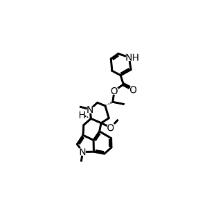 COC12C[C@@H](C(C)OC(=O)C3=CNC=CC3)CN(C)[C@@H]1Cc1cn(C)c3cccc2c13